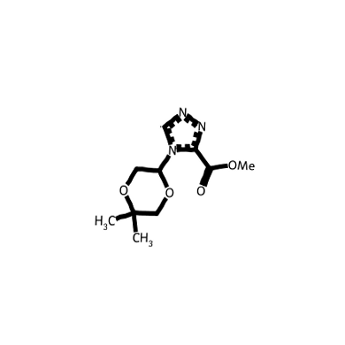 COC(=O)c1nn[c]n1C1COC(C)(C)CO1